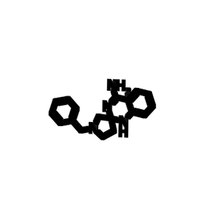 NC1=NC2(CCN(Cc3ccccc3)C2)Nc2ccccc21